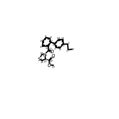 CCCc1ccc(-c2ccccc2C(=O)N2CSC[C@@H]2C(=O)OC)cc1